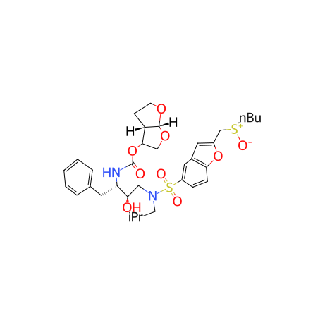 CCCC[S+]([O-])Cc1cc2cc(S(=O)(=O)N(CC(C)C)C[C@@H](O)[C@H](Cc3ccccc3)NC(=O)OC3CO[C@H]4OCC[C@@H]34)ccc2o1